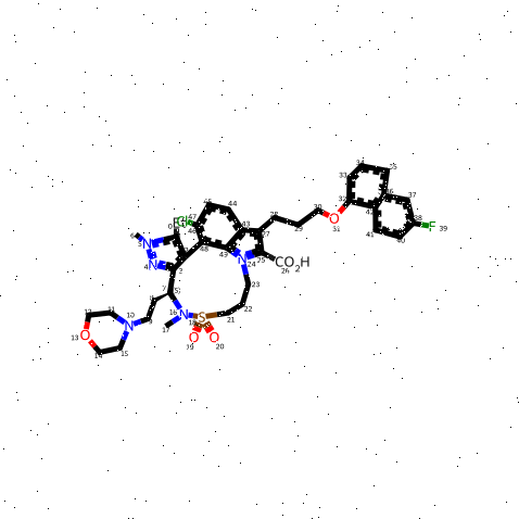 CCc1c2c(nn1C)[C@H](CCN1CCOCC1)N(C)S(=O)(=O)CCCn1c(C(=O)O)c(CCCOc3cccc4cc(F)ccc34)c3ccc(Cl)c-2c31